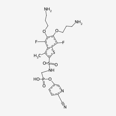 Cc1c(S(=O)(=O)NCP(=O)(O)Oc2ccc(C#N)nc2)sc2c(F)c(OCCCN)c(OCCCN)c(F)c12